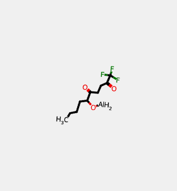 CCCCC([O][AlH2])C(=O)CCC(=O)C(F)(F)F